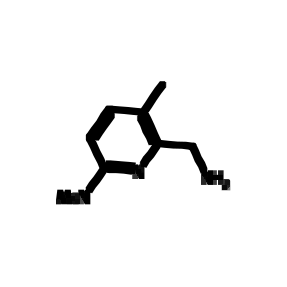 CNc1ccc(C)c(CN)n1